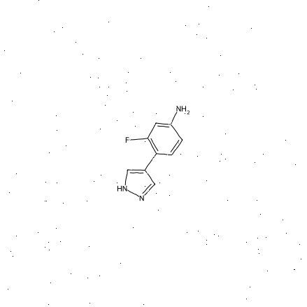 Nc1ccc(-c2cn[nH]c2)c(F)c1